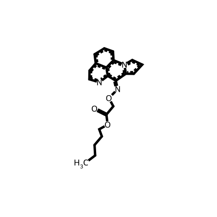 CCCCCOC(=O)CON=c1c2nccc3cccc(c32)n2cccc12